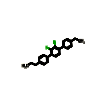 CCCc1ccc(-c2ccc(-c3ccc(CC)cc3)c(F)c2F)cc1